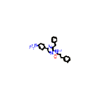 Nc1ccc(-c2cnc(NC(=O)CCc3ccccc3)c(Cc3ccccc3)n2)cc1